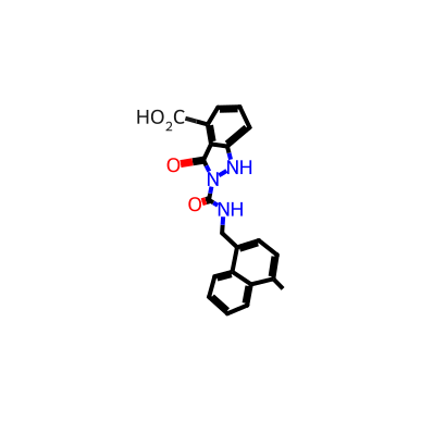 Cc1ccc(CNC(=O)n2[nH]c3cccc(C(=O)O)c3c2=O)c2ccccc12